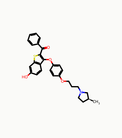 C[C@H]1CCN(CCCOc2ccc(Oc3c(C(=O)c4ccccc4)sc4cc(O)ccc34)cc2)C1